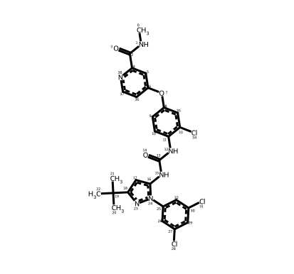 CNC(=O)c1cc(Oc2ccc(NC(=O)Nc3cc(C(C)(C)C)nn3-c3cc(Cl)cc(Cl)c3)c(Cl)c2)ccn1